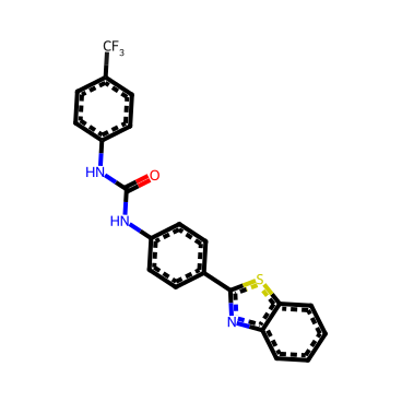 O=C(Nc1ccc(-c2nc3ccccc3s2)cc1)Nc1ccc(C(F)(F)F)cc1